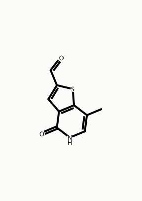 Cc1c[nH]c(=O)c2cc(C=O)sc12